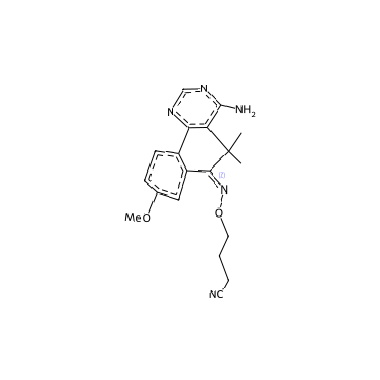 COc1ccc2c(c1)/C(=N\OCCCC#N)C(C)(C)c1c(N)ncnc1-2